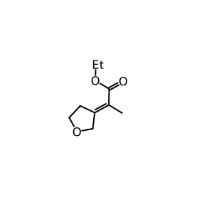 CCOC(=O)C(C)=C1CCOC1